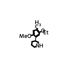 CCOc1cc([C@@H]2CCCNC2)c(OC)cc1C